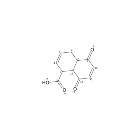 O=C(O)C1C=CCC2C(=O)C=CC(=O)C12